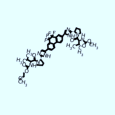 COCCOC(=O)N[C@H](C(=O)N1CCC[C@H]1c1ncc(-c2ccc3c(c2)C(F)(F)C(F)(F)c2cc(-c4cnc([C@@H]5CCCN5C(=O)[C@@H](NC(=O)OC)C(C)C)[nH]4)ccc2-3)[nH]1)C(C)C